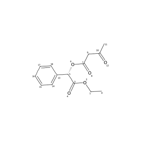 CCOC(=O)[C@@H](OC(=O)CC(C)=O)c1ccccc1